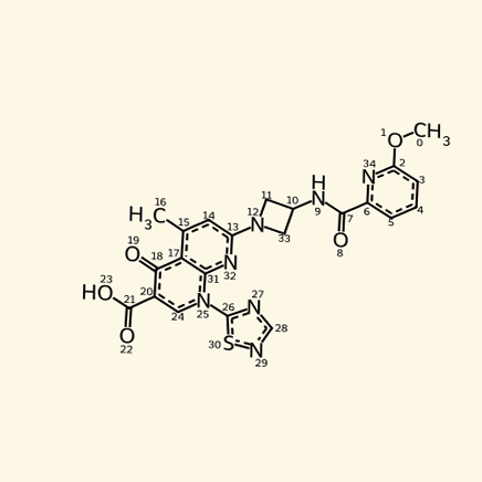 COc1cccc(C(=O)NC2CN(c3cc(C)c4c(=O)c(C(=O)O)cn(-c5ncns5)c4n3)C2)n1